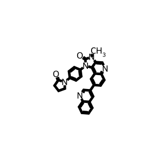 Cn1c(=O)n(-c2ccc(N3CCCC3=O)cc2)c2c3cc(-c4cnc5ccccc5c4)ccc3ncc21